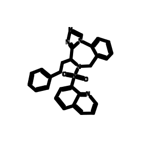 O=S(=O)(c1cccc2cccnc12)N1Cc2ccccc2-n2cnnc2C1CCc1ccccc1